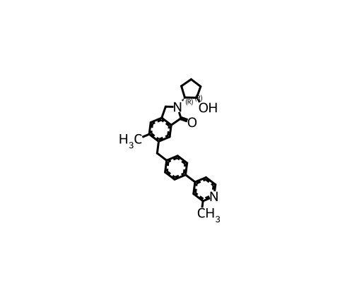 Cc1cc(-c2ccc(Cc3cc4c(cc3C)CN([C@@H]3CCC[C@H]3O)C4=O)cc2)ccn1